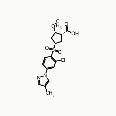 CO[C@@H]1C[C@H](S(=O)(=O)c2ccc(-n3cc(C)cn3)cc2Cl)C[C@H]1C(=O)O